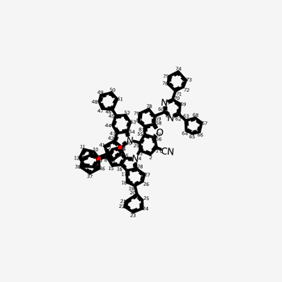 N#Cc1cc(-n2c3ccc(-c4ccccc4)cc3c3cc(-c4ccccc4)ccc32)c(-n2c3ccc(-c4ccccc4)cc3c3cc(-c4ccccc4)ccc32)c2c1oc1c(-c3nc(-c4ccccc4)cc(-c4ccccc4)n3)cccc12